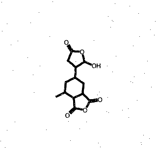 CC1CC(C2CC(=O)OC2O)CC2C(=O)OC(=O)C12